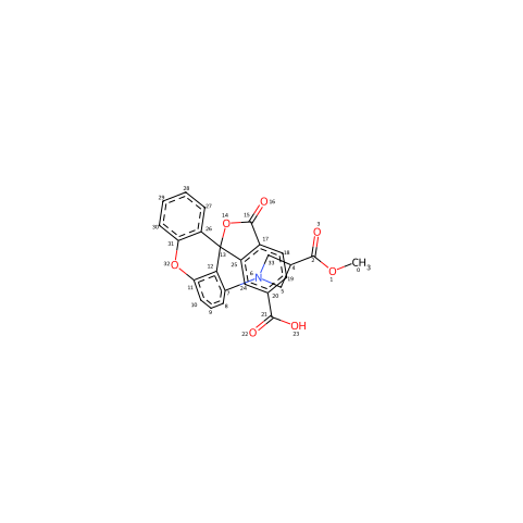 COC(=O)C1CN(c2cccc3c2C2(OC(=O)c4ccc(C(=O)O)cc42)c2ccccc2O3)C1